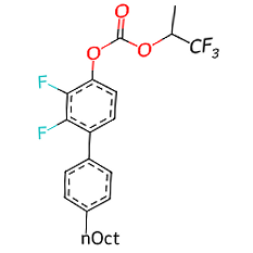 CCCCCCCCc1ccc(-c2ccc(OC(=O)OC(C)C(F)(F)F)c(F)c2F)cc1